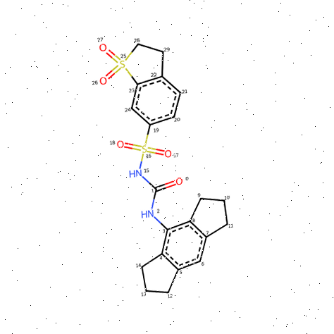 O=C(Nc1c2c(cc3c1CCC3)CCC2)NS(=O)(=O)c1ccc2c(c1)S(=O)(=O)CC2